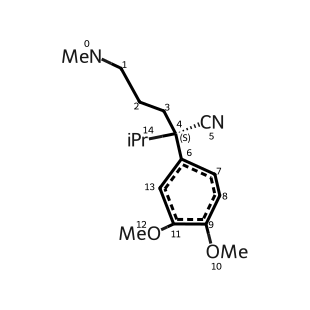 CNCCC[C@@](C#N)(c1ccc(OC)c(OC)c1)C(C)C